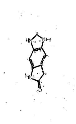 O=C1Cc2cc3c(cc2N1)NCN3